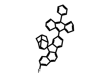 Fc1ccc2c3c(ccc2c1)-c1ccc(-c2c4ccccc4c(-c4ccccc4)c4ccccc24)cc1C31C2CC3CC(C2)CC1C3